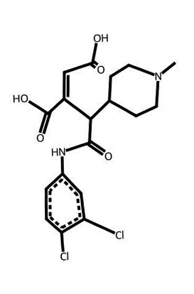 CN1CCC(C(C(=O)Nc2ccc(Cl)c(Cl)c2)/C(=C\C(=O)O)C(=O)O)CC1